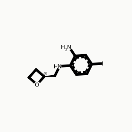 Nc1cc(I)ccc1NC[C@@H]1CCO1